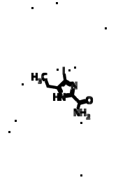 CCc1[nH]c(C(N)=O)nc1I